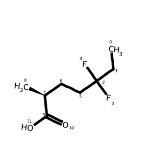 CCC(F)(F)CC[C@H](C)C(=O)O